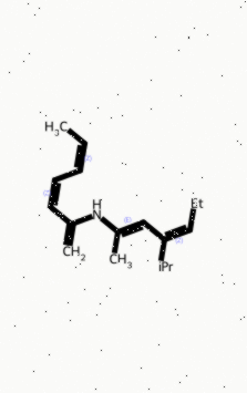 C=C(/C=C\C=C/C)N/C(C)=C/C(=C\CC)C(C)C